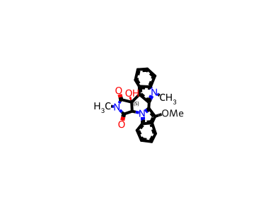 COc1c2n(c3ccccc13)C1C(=O)N(C)C(=O)[C@]1(O)c1c-2n(C)c2ccccc12